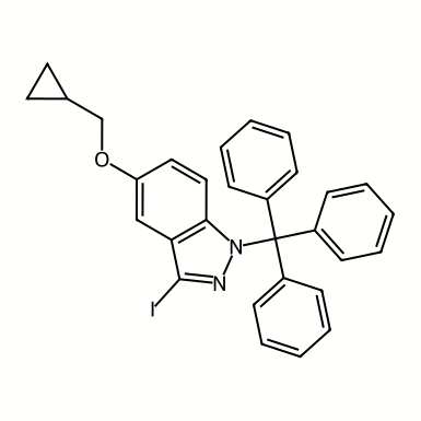 Ic1nn(C(c2ccccc2)(c2ccccc2)c2ccccc2)c2ccc(OCC3CC3)cc12